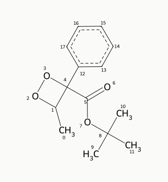 CC1OOC1(C(=O)OC(C)(C)C)c1ccccc1